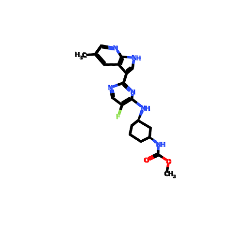 COC(=O)N[C@H]1CCC[C@@H](Nc2nc(-c3c[nH]c4ncc(C)cc34)ncc2F)C1